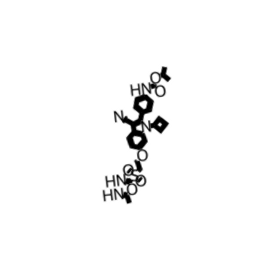 CC(=N)OC(=N)S(=O)(=O)CCOc1ccc2c(C#N)c(-c3ccc(NC(=O)OC(C)C)cc3)n(C3CCC3)c2c1